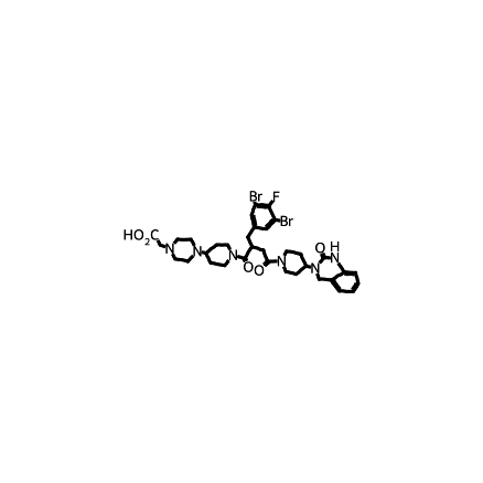 O=C(O)CN1CCN(C2CCN(C(=O)C(CC(=O)N3CCC(N4Cc5ccccc5NC4=O)CC3)Cc3cc(Br)c(F)c(Br)c3)CC2)CC1